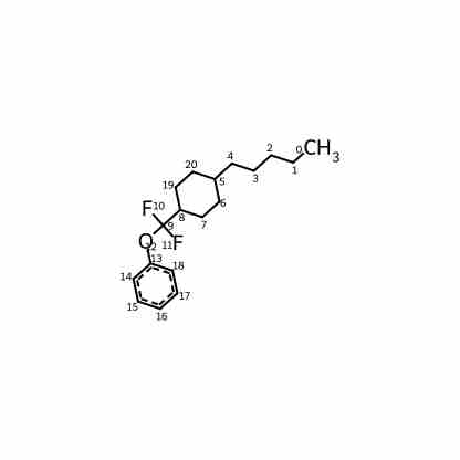 CCCCCC1CCC(C(F)(F)Oc2ccccc2)CC1